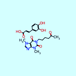 CC(=O)CCCCn1c(=O)c2c(ncn2C)n(C)c1=O.O=C(O)/C=C/c1ccc(O)c(O)c1